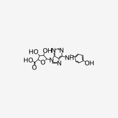 O=C(O)C1OC(n2cnc3c(NCc4ccc(O)cc4)ncnc32)C(O)C1O